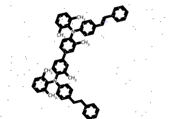 Cc1cc(-c2ccc(N(c3ccc(CCc4ccccc4)cc3)c3c(C)cccc3C)c(C)c2)ccc1N(c1ccc(/C=C/c2ccccc2)cc1)c1c(C)cccc1C